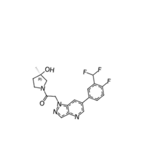 C[C@@]1(O)CCN(C(=O)Cn2ncc3ncc(-c4ccc(F)c(C(F)F)c4)cc32)C1